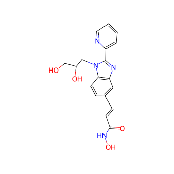 O=C(/C=C/c1ccc2c(c1)nc(-c1ccccn1)n2CC(O)CO)NO